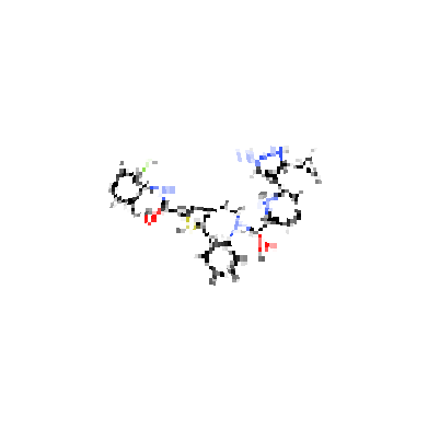 Cc1cccc(F)c1NC(=O)c1cc2c(s1)-c1ccccc1N(C(O)c1cccc(-c3c[nH]nc3C3CC3)n1)CC2